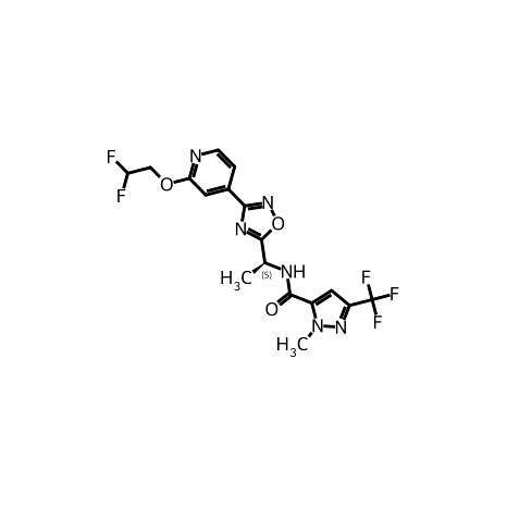 C[C@H](NC(=O)c1cc(C(F)(F)F)nn1C)c1nc(-c2ccnc(OCC(F)F)c2)no1